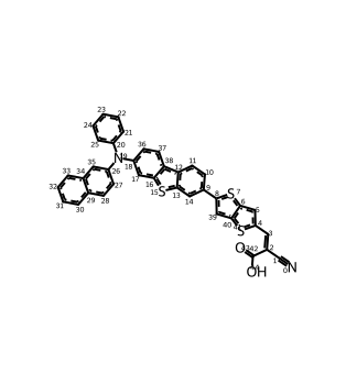 N#CC(=Cc1cc2sc(-c3ccc4c(c3)sc3cc(N(c5ccccc5)c5ccc6ccccc6c5)ccc34)cc2s1)C(=O)O